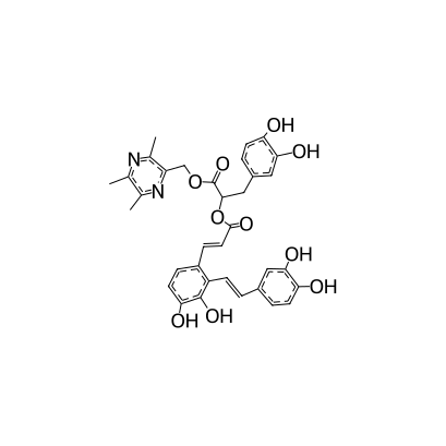 Cc1nc(C)c(COC(=O)C(Cc2ccc(O)c(O)c2)OC(=O)/C=C/c2ccc(O)c(O)c2/C=C/c2ccc(O)c(O)c2)nc1C